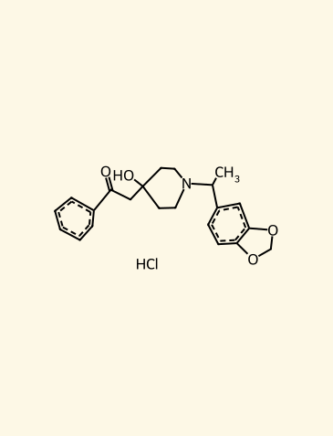 CC(c1ccc2c(c1)OCO2)N1CCC(O)(CC(=O)c2ccccc2)CC1.Cl